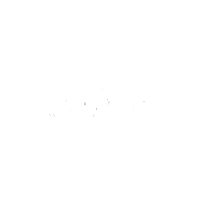 Cc1ccc2ncn(COC(=O)C(C)(C)C)c(=O)c2c1